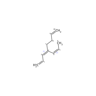 C=C/C=C(\C=C/C)CCC=C